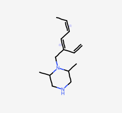 C=C/C(=C\C=C/C)CN1C(C)CNCC1C